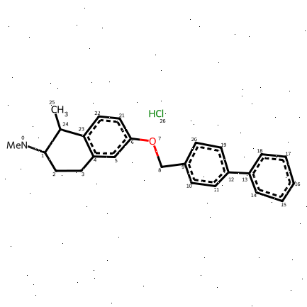 CNC1CCc2cc(OCc3ccc(-c4ccccc4)cc3)ccc2C1C.Cl